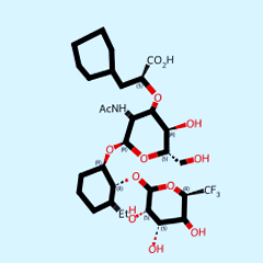 CCC1CCC[C@@H](O[C@@H]2O[C@@H](CO)[C@H](O)C(O[C@@H](CC3CCCCC3)C(=O)O)C2NC(C)=O)[C@@H]1OC1O[C@@H](C(F)(F)F)C(O)[C@H](O)[C@@H]1O